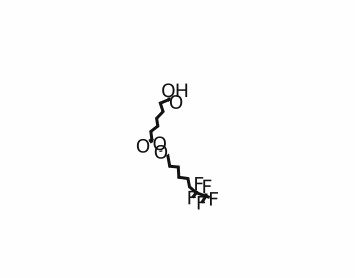 O=C(O)CCCCCC(=O)OOCCCCCCC(F)(F)C(F)(F)F